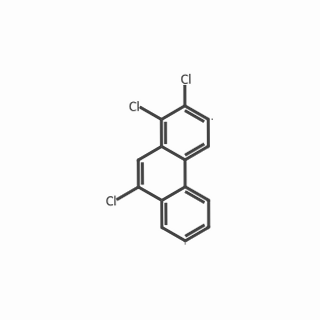 Clc1[c]cc2c(cc(Cl)c3c[c]ccc32)c1Cl